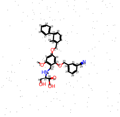 COc1cc(OCc2cccc(-c3ccccc3)c2C)cc(OCc2cccc(C#N)c2)c1CN[C@H](CO)C(=O)O